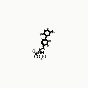 CCOC(=O)C(=O)NCCc1ccc(-c2cc(Cl)ccc2F)cc1